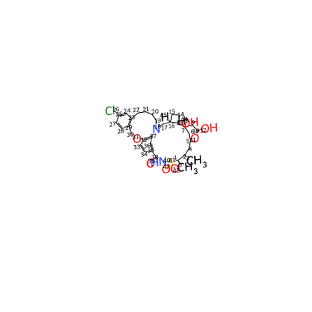 C[C@@H]1[C@@H](C)CCC[C@@](O)(CC(=O)O)[C@@H]2CC[C@H]2CN2CCCCc3cc(Cl)ccc3COc3ccc(cc32)C(=O)NS1(=O)=O